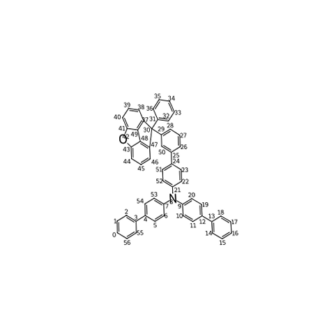 c1ccc(-c2ccc(N(c3ccc(-c4ccccc4)cc3)c3ccc(-c4cccc(C5(c6ccccc6)c6cccc7oc8cccc5c8c67)c4)cc3)cc2)cc1